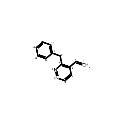 C=Cc1ccnnc1Cc1ccccc1